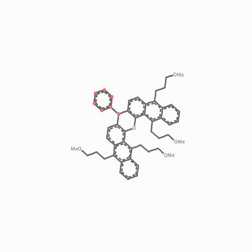 COCCCc1c2ccccc2c(CCCOC)c2c(Oc3c(Sc4ccccc4)ccc4c(CCCOC)c5ccccc5c(CCCOC)c34)c(Sc3ccccc3)ccc12